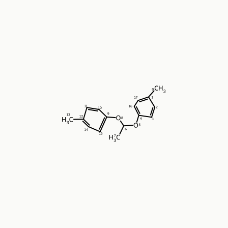 Cc1ccc(OC(C)Oc2ccc(C)cc2)cc1